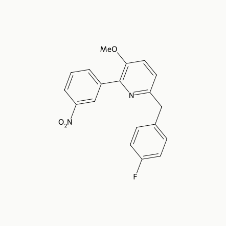 COc1ccc(Cc2ccc(F)cc2)nc1-c1cccc([N+](=O)[O-])c1